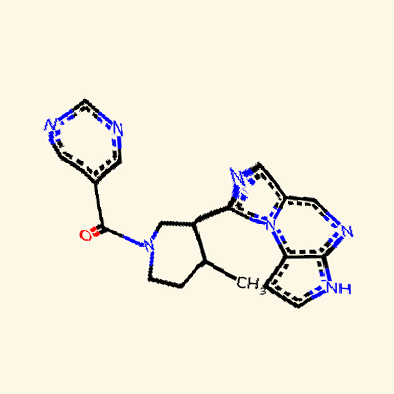 CC1CCN(C(=O)c2cncnc2)CC1c1ncc2cnc3[nH]ccc3n12